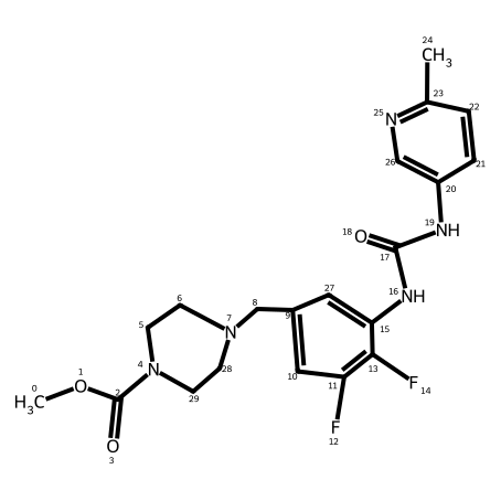 COC(=O)N1CCN(Cc2cc(F)c(F)c(NC(=O)Nc3ccc(C)nc3)c2)CC1